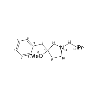 COC1(Cc2ccccc2)CCN(C[C](C)C)C1